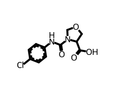 O=C(O)C1COCN1C(=O)Nc1ccc(Cl)cc1